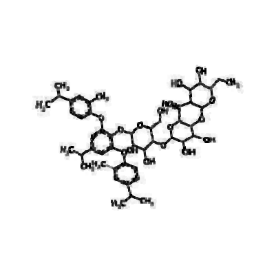 CCC1OC(OC2C(CO)OC(OC3C(CO)OC(Oc4c(Oc5ccc(C(C)C)cc5C)cc(C(C)C)cc4Oc4ccc(C(C)C)cc4C)C(O)C3O)C(O)C2O)[CH]([Re])C(O)C1O